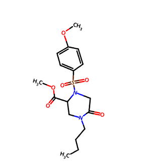 CCCCN1CC(C(=O)OC)N(S(=O)(=O)c2ccc(OC)cc2)CC1=O